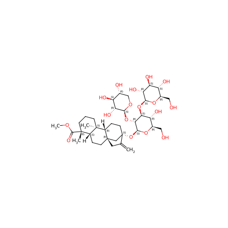 C=C1C[C@@]23CC[C@H]4[C@@](C)(CCC[C@@]4(C)C(=O)OC)[C@@H]2CC[C@]1(O[C@@H]1O[C@H](CO)[C@@H](O)[C@H](O[C@@H]2O[C@H](CO)[C@@H](O)[C@H](O)[C@H]2O)[C@H]1O[C@@H]1OC[C@@H](O)[C@H](O)[C@H]1O)C3